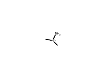 C[N+](C)N